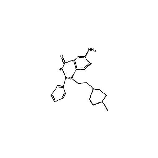 CC1CCN(CCN2c3ccc(N)cc3C(=O)NC2c2ccccc2)CC1